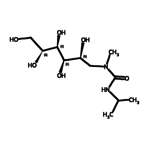 CC(C)NC(=O)N(C)C[C@H](O)[C@@H](O)[C@H](O)[C@H](O)CO